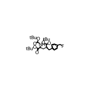 CC(C)(C)OC(=O)N[C@@H](C[C@H](Cc1ccc(CF)cc1)C(=O)OC(C)(C)C)C(=O)OC(C)(C)C